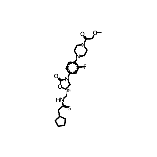 COCC(=O)N1CCN(c2ccc(N3C[C@H](CNC(=S)CC4CCCC4)OC3=O)cc2F)CC1